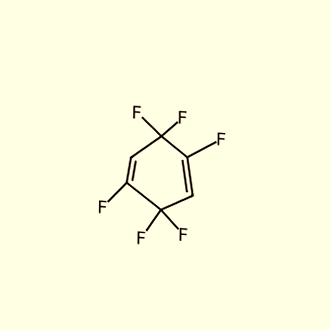 FC1=CC(F)(F)C(F)=CC1(F)F